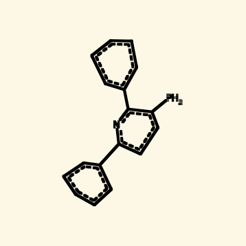 Pc1ccc(-c2ccccc2)nc1-c1ccccc1